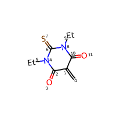 C=C1C(=O)N(CC)C(=S)N(CC)C1=O